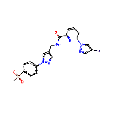 CS(=O)(=O)c1ccc(-n2cc(CNC(=O)C3=NC(n4cc(I)cn4)CC=C3)cn2)cc1